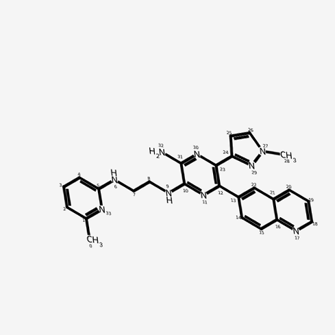 Cc1cccc(NCCNc2nc(-c3ccc4ncccc4c3)c(-c3ccn(C)n3)nc2N)n1